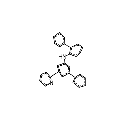 c1ccc(-c2cc(Nc3ccccc3-c3ccccc3)cc(-c3ccccn3)c2)cc1